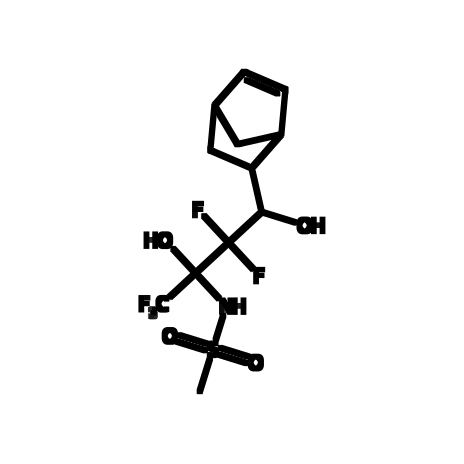 CS(=O)(=O)NC(O)(C(F)(F)F)C(F)(F)C(O)C1CC2C=CC1C2